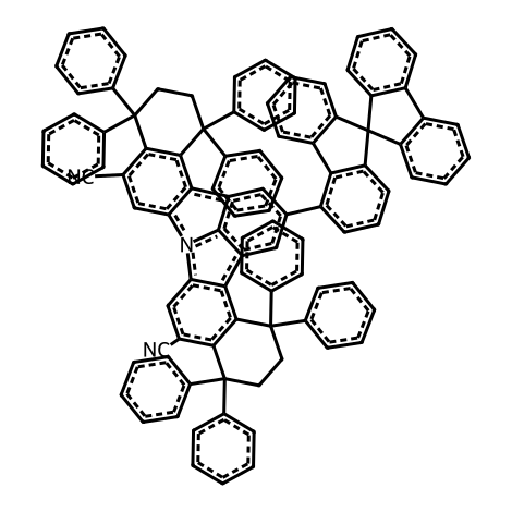 N#Cc1cc2c(c3c1C(c1ccccc1)(c1ccccc1)CCC3(c1ccccc1)c1ccccc1)c1cc(-c3cccc4c3-c3ccccc3C43c4ccccc4-c4ccccc43)cc3c4c5c(c(C#N)cc4n2c13)C(c1ccccc1)(c1ccccc1)CCC5(c1ccccc1)c1ccccc1